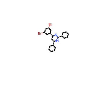 Brc1cc(Br)cc(-c2cc(-c3ccccc3)nc(-c3ccccc3)n2)c1